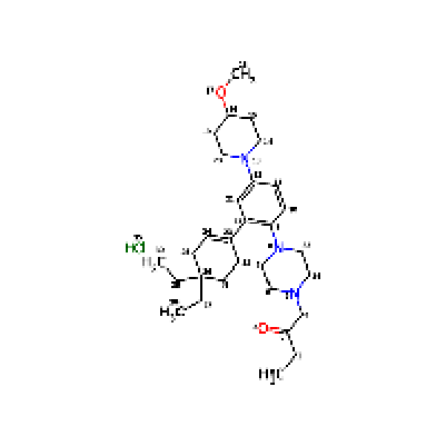 CCC(=O)CN1CCN(c2ccc(N3CCC(OC)CC3)cc2C2=CCC(CC)(CC)CC2)CC1.Cl